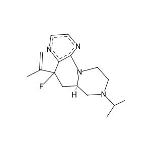 C=C(C)C1(F)C[C@@H]2CN(C(C)C)CCN2c2nccnc21